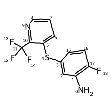 Nc1cc(Sc2cccnc2C(F)(F)F)ccc1F